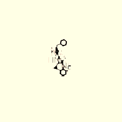 C[C@H]1C2c3cc(F)cc(F)c3NC(=O)[C@@H](NC(=O)c3nnc(Cc4ccccc4)o3)C21